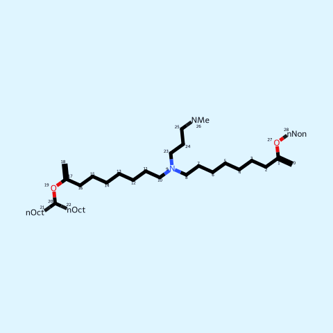 C=C(CCCCCCCN(CCCCCCCC(=C)OC(CCCCCCCC)CCCCCCCC)CCCNC)OCCCCCCCCC